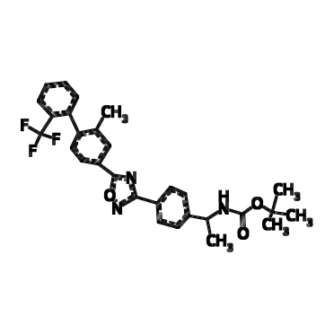 Cc1cc(-c2nc(-c3ccc(C(C)NC(=O)OC(C)(C)C)cc3)no2)ccc1-c1ccccc1C(F)(F)F